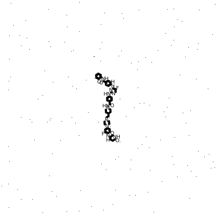 O=C1CCC(Nc2ccc(N3CCN(CCC4CCN(NC(=O)c5ccc(Nc6ncc(F)c(Nc7ccc(C(=O)Nc8ccccc8Cl)cc7)n6)cc5)CC4)CC3)cc2F)C(=O)N1